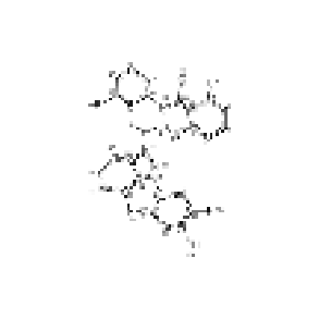 CC(c1nc2cccc(F)c2c(=O)n1-c1cccc(F)c1)n1nc(-c2ccc(O)c(F)c2)c2c(N)ncnc21